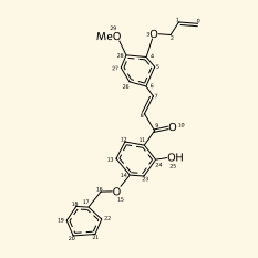 C=CCOc1cc(/C=C/C(=O)c2ccc(OCc3ccccc3)cc2O)ccc1OC